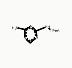 CCCCCNc1ncnc(N)n1